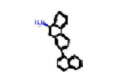 Nc1cc2cc(-c3cccc4ccccc34)ccc2c2ccccc12